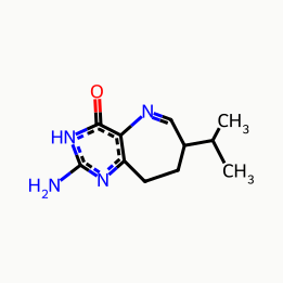 CC(C)C1C=Nc2c(nc(N)[nH]c2=O)CC1